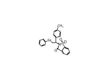 Cc1ccc(C(C[Se]c2ccccc2)N2C(=O)c3ccccc3S2(=O)=O)cc1